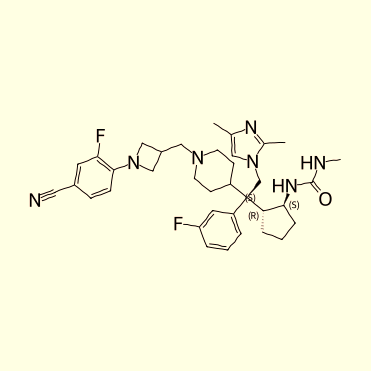 CNC(=O)N[C@H]1CCC[C@@H]1[C@](Cn1cc(C)nc1C)(c1cccc(F)c1)C1CCN(CC2CN(c3ccc(C#N)cc3F)C2)CC1